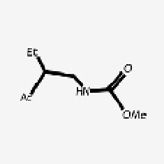 CCC(CNC(=O)OC)C(C)=O